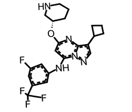 Fc1cc(Nc2cc(O[C@H]3CCCNC3)nc3c(C4CCC4)cnn23)cc(C(F)(F)F)c1